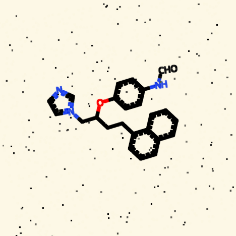 O=CNc1ccc(OC(CCc2cccc3ccccc23)Cn2ccnc2)cc1